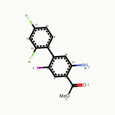 COC(=O)c1cc(I)c(-c2ccc(F)cc2F)cc1N